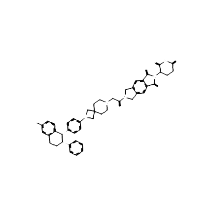 O=C1CCC(N2C(=O)c3cc4c(cc3C2=O)CN(C(=O)CN2CCC3(CC2)CN(c2ccc([C@@H]5c6ccc(O)cc6CC[C@@H]5c5ccccc5)cc2)C3)C4)C(=O)N1